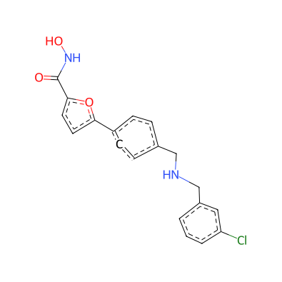 O=C(NO)c1ccc(-c2ccc(CNCc3cccc(Cl)c3)cc2)o1